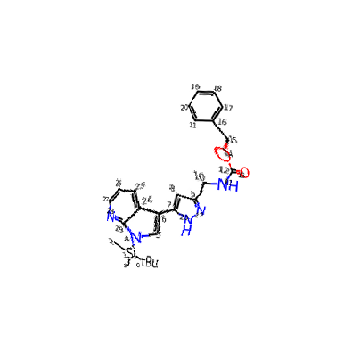 CC(C)(C)[Si](C)(C)n1cc(-c2cc(CNC(=O)OCc3ccccc3)n[nH]2)c2cccnc21